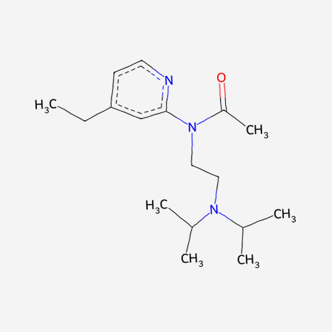 CCc1ccnc(N(CCN(C(C)C)C(C)C)C(C)=O)c1